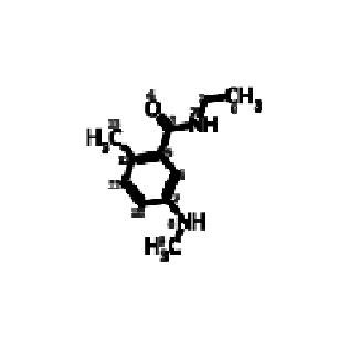 CCNC(=O)c1cc(NC)ccc1C